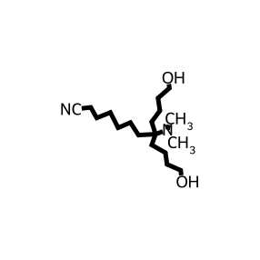 CN(C)C(CCCCO)(CCCCO)CCCCCCC#N